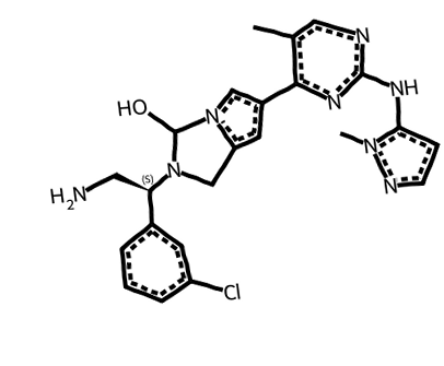 Cc1cnc(Nc2ccnn2C)nc1-c1cc2n(c1)C(O)N([C@H](CN)c1cccc(Cl)c1)C2